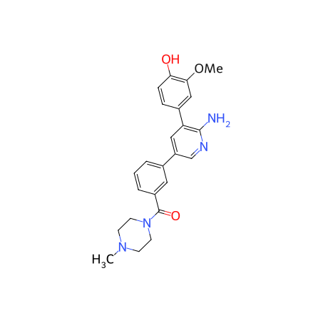 COc1cc(-c2cc(-c3cccc(C(=O)N4CCN(C)CC4)c3)cnc2N)ccc1O